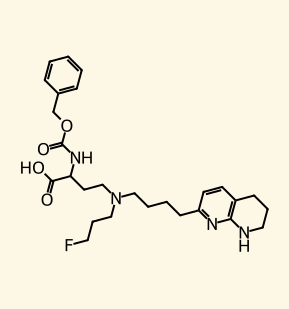 O=C(NC(CCN(CCCF)CCCCc1ccc2c(n1)NCCC2)C(=O)O)OCc1ccccc1